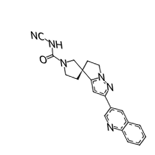 N#CNC(=O)N1CC[C@]2(CCn3nc(-c4cnc5ccccc5c4)cc32)C1